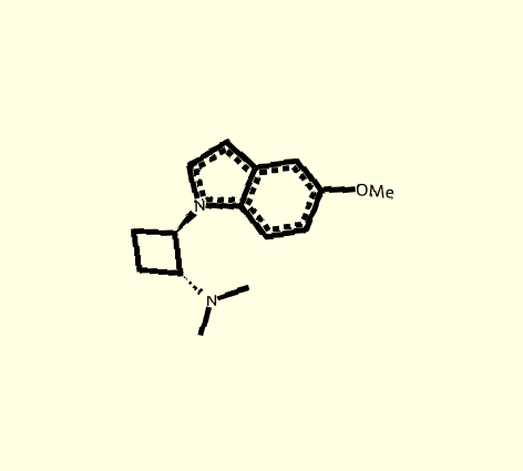 COc1ccc2c(ccn2[C@@H]2CC[C@H]2N(C)C)c1